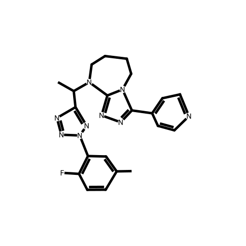 Cc1ccc(F)c(-n2nnc(C(C)N3CCCCn4c(-c5ccncc5)nnc43)n2)c1